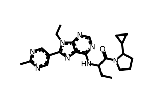 CCC(Nc1ncnc2c1nc(-c1cnc(C)nc1)n2CC)C(=O)N1CCCC1C1CC1